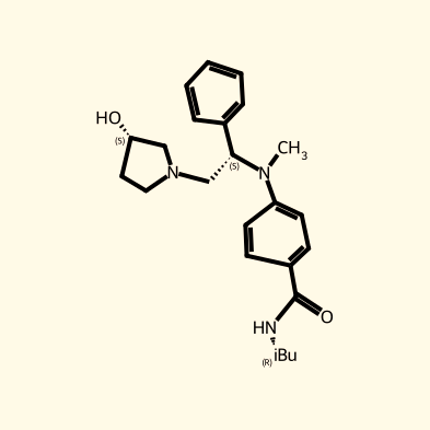 CC[C@@H](C)NC(=O)c1ccc(N(C)[C@H](CN2CC[C@H](O)C2)c2ccccc2)cc1